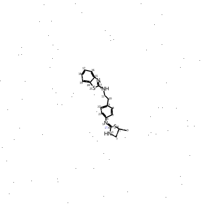 CC1CN/C(=N/c2ccc(CCNc3nc4ccccc4s3)cc2)S1